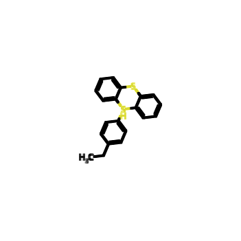 CCc1ccc([SH]2c3ccccc3Sc3ccccc32)cc1